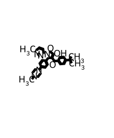 Cc1ccc(N2C(=O)C(O)=C(C(=O)c3ccc(C(C)C)cc3)C2c2ccc(N3CCN(C)CC3)cc2)nn1